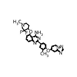 Cc1cc(-c2nc(N)c3c(OC4CCN(C)CC4(F)F)cccc3n2)ccc1Oc1ccn2ncnc2c1